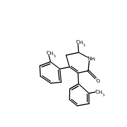 Cc1ccccc1C1=C(c2ccccc2C)C(=O)NC(C)C1